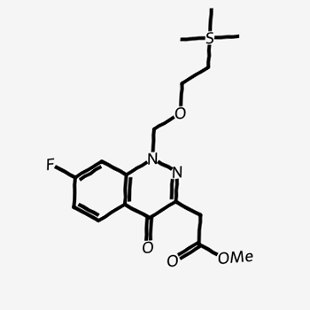 COC(=O)Cc1nn(COCCS(C)(C)C)c2cc(F)ccc2c1=O